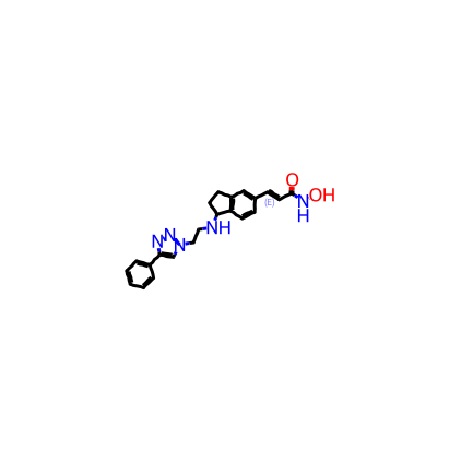 O=C(/C=C/c1ccc2c(c1)CCC2NCCn1cc(-c2ccccc2)nn1)NO